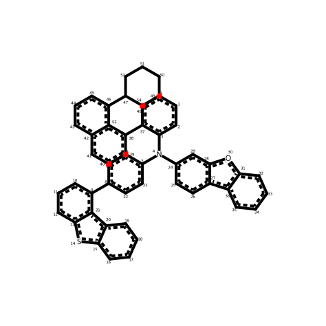 c1ccc(N(c2ccc(-c3cccc4sc5ccccc5c34)cc2)c2ccc3c(c2)oc2ccccc23)c(-c2cccc3cccc(C4CCCCC4)c23)c1